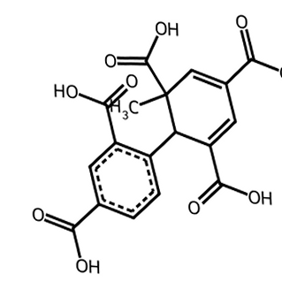 CC1(C(=O)O)C=C(C(=O)O)C=C(C(=O)O)C1c1ccc(C(=O)O)cc1C(=O)O